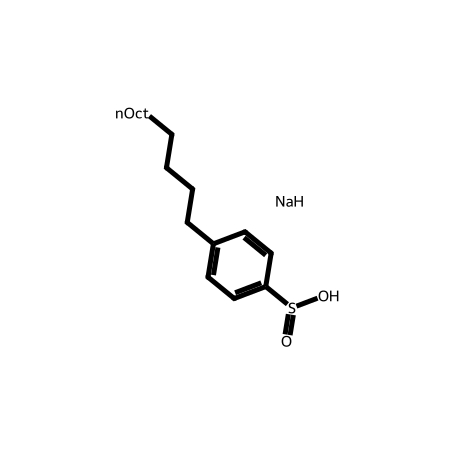 CCCCCCCCCCCCc1ccc(S(=O)O)cc1.[NaH]